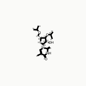 C=C1NC(=O)C(C)=CN1[C@@H]1S[C@H](COC(C)C)C(OC(C)C)[C@@H]1O